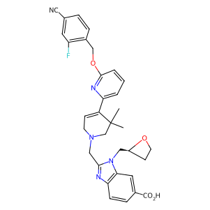 CC1(C)CN(Cc2nc3ccc(C(=O)O)cc3n2C[C@@H]2CCO2)CC=C1c1cccc(OCc2ccc(C#N)cc2F)n1